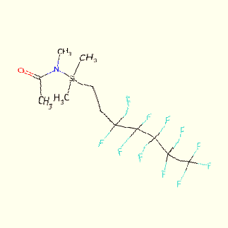 CC(=O)N(C)[Si](C)(C)CCC(F)(F)C(F)(F)C(F)(F)C(F)(F)C(F)(F)F